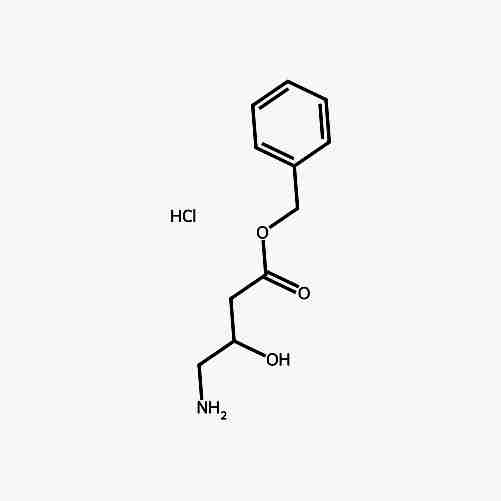 Cl.NCC(O)CC(=O)OCc1ccccc1